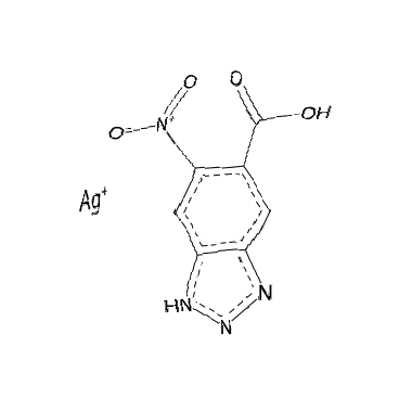 O=C(O)c1cc2nn[nH]c2cc1[N+](=O)[O-].[Ag+]